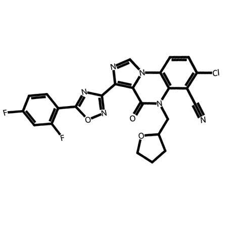 N#Cc1c(Cl)ccc2c1n(CC1CCCO1)c(=O)c1c(-c3noc(-c4ccc(F)cc4F)n3)ncn12